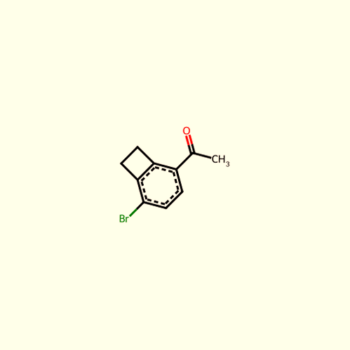 CC(=O)c1ccc(Br)c2c1CC2